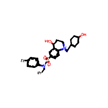 CCc1ccc(N(CC(C)C)S(=O)(=O)c2ccc3c(c2)C(O)CCN3CC2CCC(O)CC2)cc1